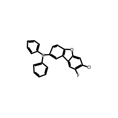 Fc1cc2c(cc1Cl)oc1ccc(N(c3ccccc3)c3ccccc3)cc12